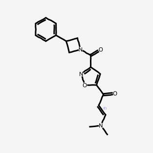 CN(C)/C=C/C(=O)c1cc(C(=O)N2CC(c3ccccc3)C2)no1